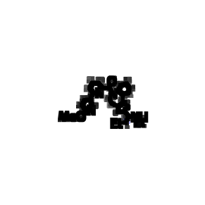 CC/C=C(/NCC)c1cc2c(s1)-c1ccccc1N(C(=O)c1cccc(-c3ccc(OC)nc3)n1)CC2